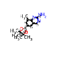 Cc1cc(B2OC(C)(C)C(C)(C)O2)cc2cnc(N)nc12